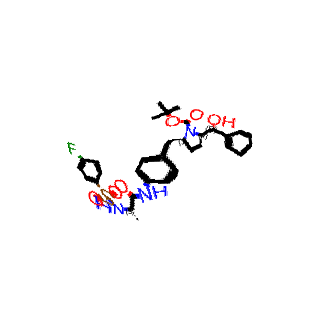 C[C@H](NS(=O)(=O)c1ccc(F)cc1)C(=O)Nc1ccc(C[C@@H]2CC[C@H]([C@H](O)c3ccccc3)N2C(=O)OC(C)(C)C)cc1